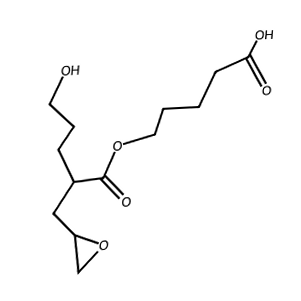 O=C(O)CCCCOC(=O)C(CCCO)CC1CO1